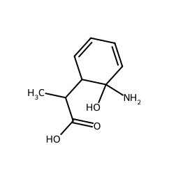 CC(C(=O)O)C1C=CC=CC1(N)O